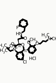 COc1c(OCCCN(C)C)cccc1[C@H]1O[C@H](CC(=O)NCc2ccccc2F)C(=O)N(CC(C)(C)C)c2ccc(Cl)cc21.Cl